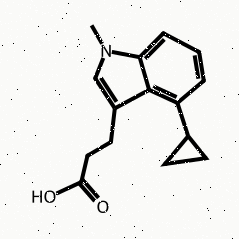 Cn1cc(CCC(=O)O)c2c(C3CC3)cccc21